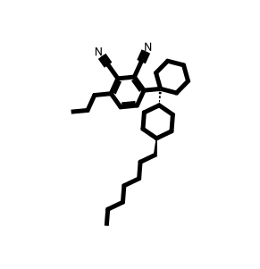 CCCCCCC[C@H]1CC[C@H](C2(c3ccc(CCC)c(C#N)c3C#N)CCCCC2)CC1